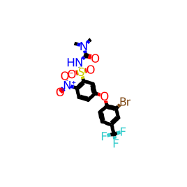 CN(C)C(=O)NS(=O)(=O)c1cc(Oc2ccc(C(F)(F)F)cc2Br)ccc1[N+](=O)[O-]